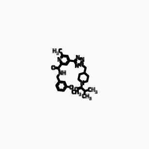 COc1cccc(CNC(=O)c2cc(-c3nnn(CC4CCN(C(=O)C(C)C)CC4)n3)cc(C)n2)c1